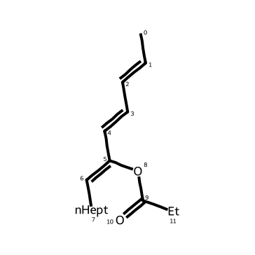 C/C=C/C=C/C(=C/CCCCCCC)OC(=O)CC